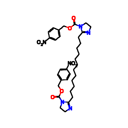 O=C(OCc1ccc([N+](=O)[O-])cc1)N1CCN=C1CCCCCCCCCCCCC1=NCCN1C(=O)OCc1ccc([N+](=O)[O-])cc1